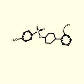 CCCOc1ccccc1C1CCC(OS(=O)(=O)c2ccc(C)cc2)CC1